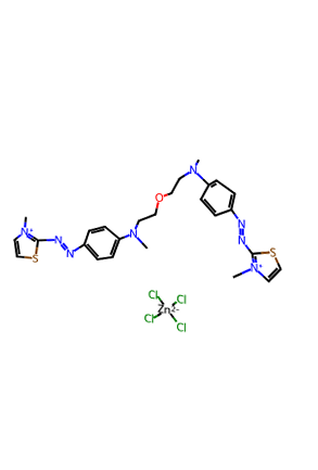 CN(CCOCCN(C)c1ccc(N=Nc2scc[n+]2C)cc1)c1ccc(N=Nc2scc[n+]2C)cc1.[Cl][Zn-2]([Cl])([Cl])[Cl]